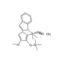 COC1=CC[C]([Zr]([CH3])([CH3])(=[SiH2])[CH]2C=Cc3ccccc32)=C1O[Si](C)(C)C.Cl.Cl